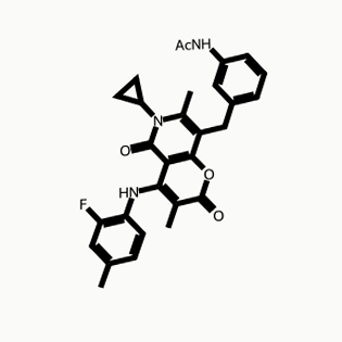 CC(=O)Nc1cccc(Cc2c(C)n(C3CC3)c(=O)c3c(Nc4ccc(C)cc4F)c(C)c(=O)oc23)c1